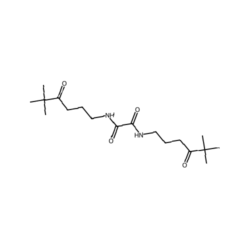 CC(C)(C)C(=O)CCCNC(=O)C(=O)NCCCC(=O)C(C)(C)C